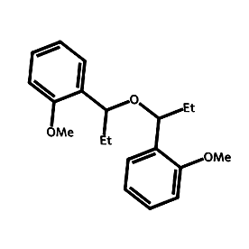 CCC(OC(CC)c1ccccc1OC)c1ccccc1OC